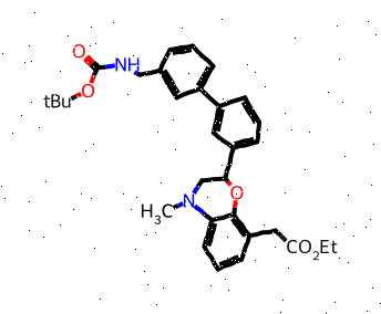 CCOC(=O)Cc1cccc2c1OC(c1cccc(-c3cccc(CNC(=O)OC(C)(C)C)c3)c1)CN2C